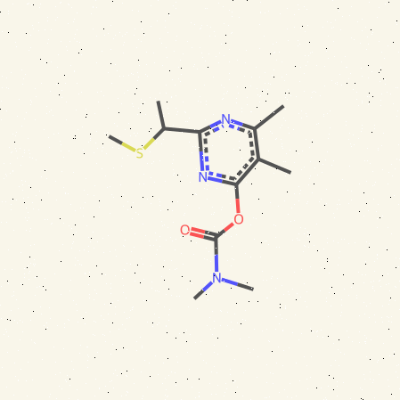 CSC(C)c1nc(C)c(C)c(OC(=O)N(C)C)n1